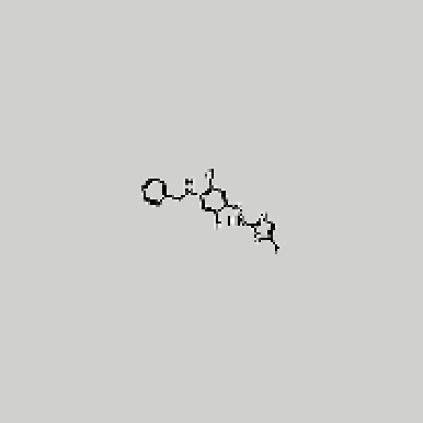 Fc1cnc(NSc2cc(Cl)c(NCc3ccccc3)cc2F)s1